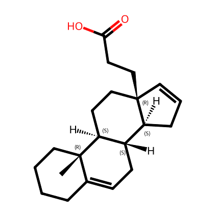 C[C@]12CCCCC1=CC[C@H]1[C@@H]3CC=C[C@@]3(CCC(=O)O)CC[C@@H]12